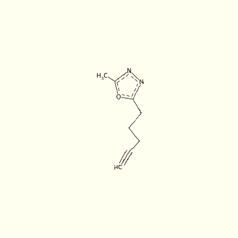 C#CCCCc1nnc(C)o1